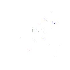 Cc1nc(S(=O)(=O)Nc2nc(Oc3ccccc3)cc(-c3ccccc3)n2)cn1C